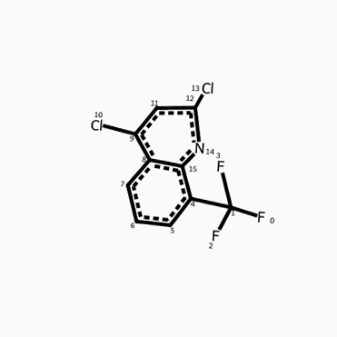 FC(F)(F)c1cccc2c(Cl)cc(Cl)nc12